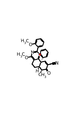 COc1ccccc1-c1nc(OC)c2c(n1)[C@@]1(c3ccccc3)C=C(C#N)C(=O)[C@@H](C)[C@@H]1CC2